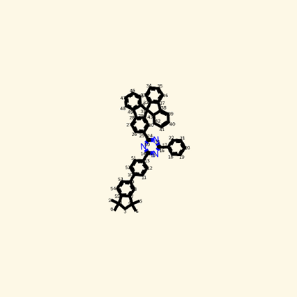 CC1(C)CC(C)(C)c2cc(-c3ccc(-c4nc(-c5ccccc5)nc(-c5ccc6c(c5)C5(c7ccccc7C7=CC=CCC75)c5ccccc5-6)n4)cc3)ccc21